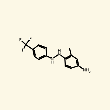 Cc1cc(N)ccc1NNc1ccc(C(F)(F)F)cc1